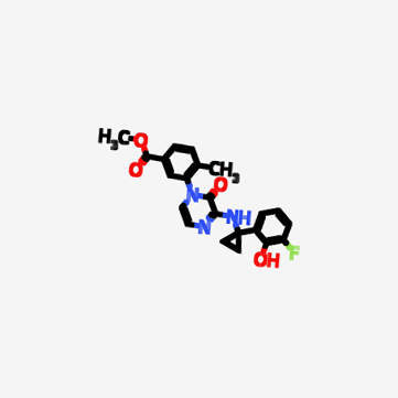 COC(=O)c1ccc(C)c(-n2ccnc(NC3(c4cccc(F)c4O)CC3)c2=O)c1